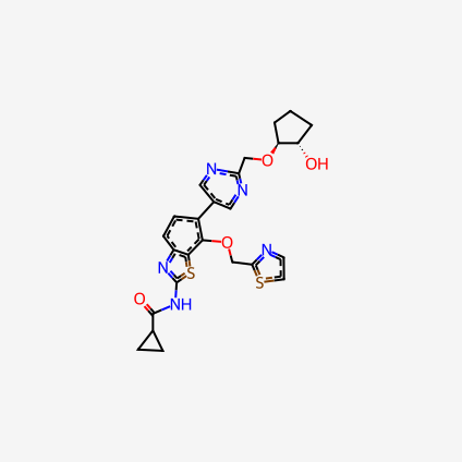 O=C(Nc1nc2ccc(-c3cnc(CO[C@H]4CCC[C@@H]4O)nc3)c(OCc3nccs3)c2s1)C1CC1